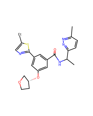 CCc1cnc(-c2cc(O[C@@H]3CCOC3)cc(C(=O)NC(C)c3ccc(C)nn3)c2)s1